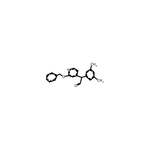 Cc1cc(C)cc(C(C=O)c2ccnc(OCc3ccccc3)c2)c1